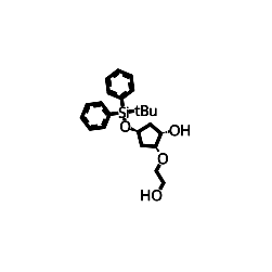 CC(C)(C)[Si](O[C@H]1C[C@H](O)[C@H](OCCO)C1)(c1ccccc1)c1ccccc1